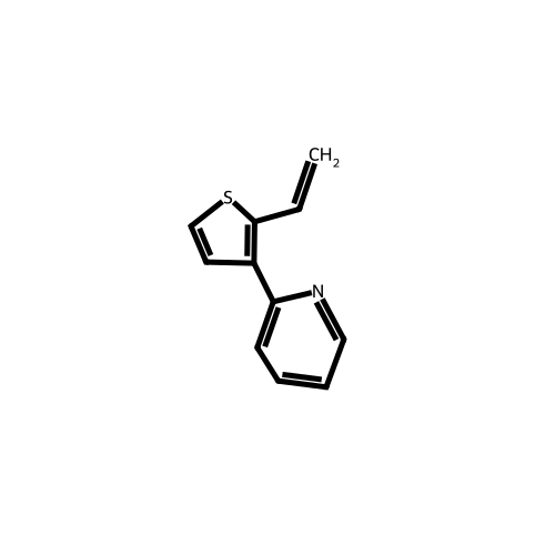 C=Cc1sccc1-c1ccccn1